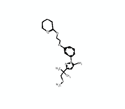 CSCC(C)(C)c1cc(N)n(-c2cccc(OCCOC3CCCCO3)c2)n1